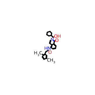 Cc1ccc(C)c(CC(=O)Nc2cccc3c(=O)n(C(O)C4CCCCC4)ccc23)c1